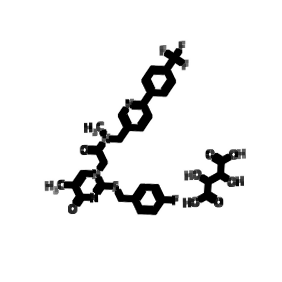 Cc1cn(CC(=O)N(C)Cc2ccc(-c3ccc(C(F)(F)F)cc3)nc2)c(SCc2ccc(F)cc2)nc1=O.O=C(O)C(O)C(O)C(=O)O